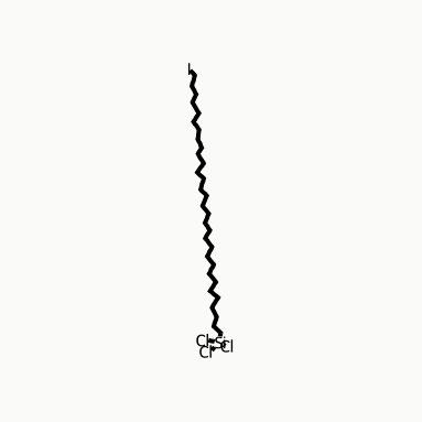 Cl[Si](Cl)(Cl)CCCCCCCCCCCCCCCCCCCCCCCCCCCCCCCI